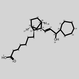 O=C(O)CCCCCC[C@H]1[C@H]2CC[C@H](C2)[C@H]1C=CC(O)C1CCCCCC1